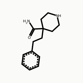 NC(=O)C1(CCc2ccccc2)CCNCC1